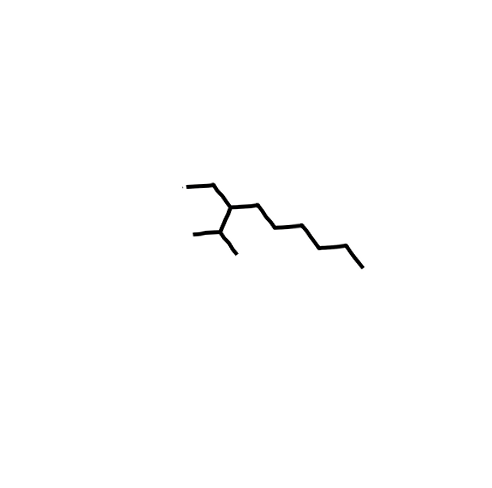 [CH2]CC(CCCCCC)C(C)C